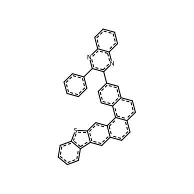 c1ccc(-c2nc3ccccc3nc2-c2ccc3c(ccc4ccc5cc6c(cc5c43)sc3ccccc36)c2)cc1